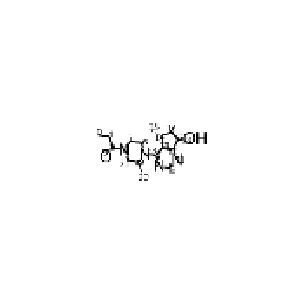 CCC(=O)N1CCN(c2ncnc3c2[C@H](C)C[C@H]3O)[C@@H](C)C1